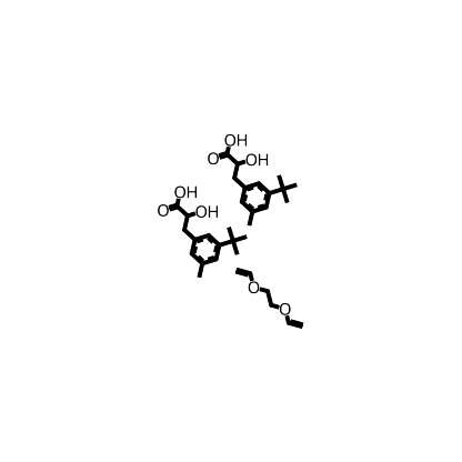 C=COCCOC=C.Cc1cc(CC(O)C(=O)O)cc(C(C)(C)C)c1.Cc1cc(CC(O)C(=O)O)cc(C(C)(C)C)c1